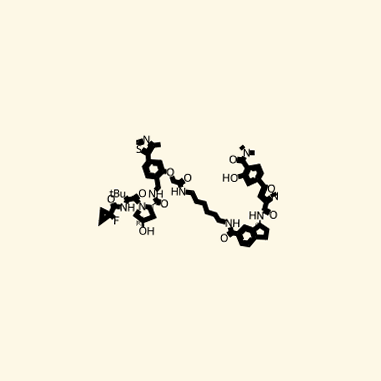 Cc1ncsc1-c1ccc(CNC(=O)[C@@H]2C[C@@H](O)CN2C(=O)C(NC(=O)C2(F)CC2)C(C)(C)C)c(OCC(=O)NCCCCCCNC(=O)c2ccc3c(c2)[C@H](NC(=O)c2cc(-c4ccc(C(=O)N(C)C)c(O)c4)on2)CC3)c1